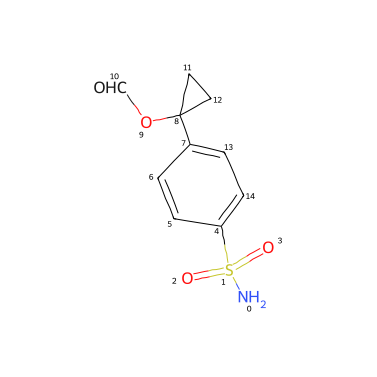 NS(=O)(=O)c1ccc(C2(OC=O)CC2)cc1